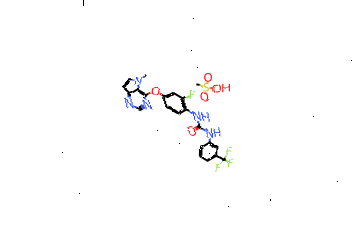 CS(=O)(=O)O.Cn1ccc2ncnc(Oc3ccc(NC(=O)Nc4cccc(C(F)(F)F)c4)c(F)c3)c21